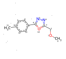 COCc1nnc(-c2ccc(C)cc2)o1